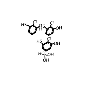 OP(O)O.Oc1cccc(S)c1Cl.Oc1cccc(S)c1Cl.Oc1cccc(S)c1Cl